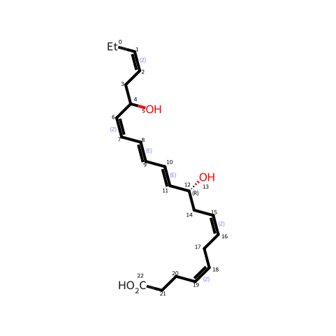 CC/C=C\CC(O)\C=C/C=C/C=C/[C@H](O)C/C=C\C/C=C\CCC(=O)O